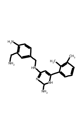 Cc1cccc(C2=CC(NCc3ccc(N)c(CN)c3)=NC(N)N2)c1C